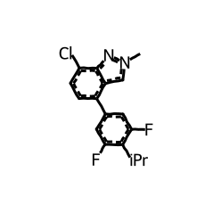 CC(C)c1c(F)cc(-c2ccc(Cl)c3nn(C)cc23)cc1F